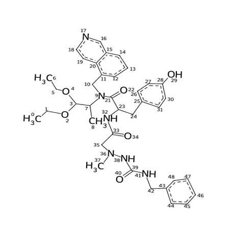 CCOC(OCC)C(C)N(Cc1cccc2cnccc12)C(=O)C(Cc1ccc(O)cc1)NC(=O)CN(C)NC(=O)NCc1ccccc1